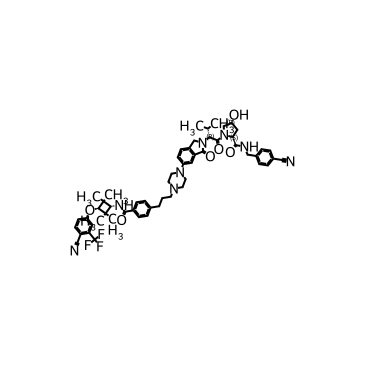 CC(C)[C@H](C(=O)N1C[C@H](O)C[C@H]1C(=O)NCc1ccc(C#N)cc1)N1Cc2ccc(N3CCN(CCCc4ccc(C(=O)N[C@H]5C(C)(C)[C@H](Oc6ccc(C#N)c(C(F)(F)F)c6)C5(C)C)cc4)CC3)cc2C1=O